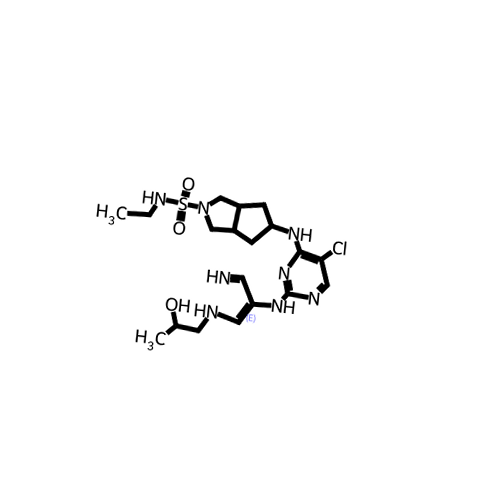 CCNS(=O)(=O)N1CC2CC(Nc3nc(N/C(C=N)=C/NCC(C)O)ncc3Cl)CC2C1